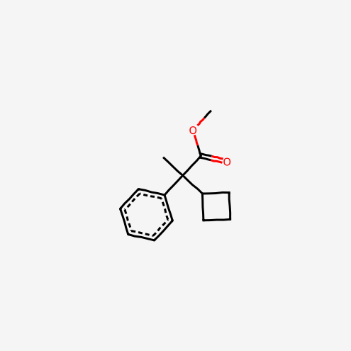 COC(=O)C(C)(c1ccccc1)C1CCC1